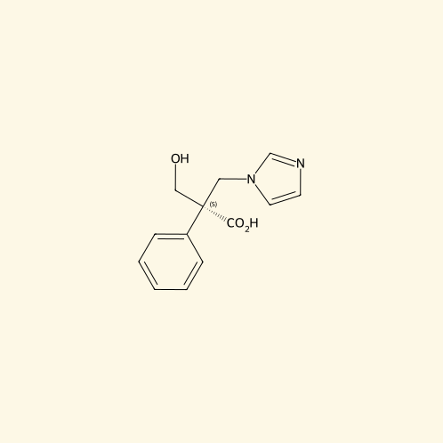 O=C(O)[C@](CO)(Cn1ccnc1)c1ccccc1